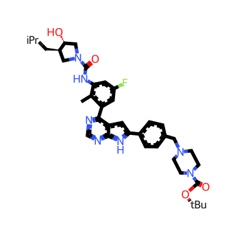 Cc1c(NC(=O)N2C[C@@H](CC(C)C)[C@H](O)C2)cc(F)cc1-c1ncnc2[nH]c(-c3ccc(CN4CCN(C(=O)OC(C)(C)C)CC4)cc3)cc12